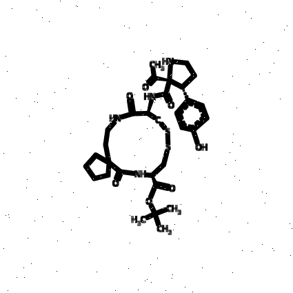 CC(=O)[C@@]1(C(=O)N[C@H]2CSSC[C@@H](C(=O)OC(C)(C)C)NC(=O)C3(CCCC3)CCNC2=O)NCC[C@@H]1c1ccc(O)cc1